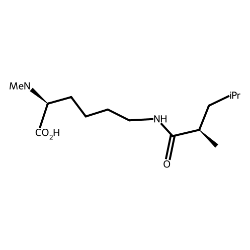 CN[C@@H](CCCCNC(=O)[C@H](C)CC(C)C)C(=O)O